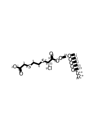 O=C([O-])CSCCS[C@@H](Cl)C(=O)[O-].[C]=O.[C]=O.[C]=O.[C]=O.[C]=O.[C]=O.[Tc+].[Tc+]